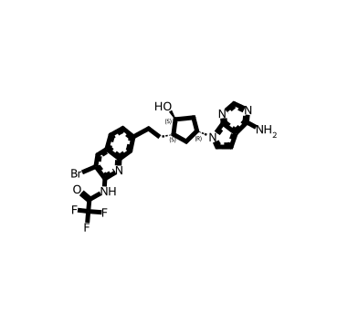 Nc1ncnc2c1ccn2[C@@H]1C[C@H](CCc2ccc3cc(Br)c(NC(=O)C(F)(F)F)nc3c2)[C@@H](O)C1